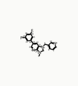 CN1CN(Cc2cccnc2)c2cc(-c3cc(F)cc(F)c3)cnc21